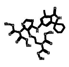 Cc1cc(Nc2ncnc(N(C(=O)OC(C)(C)C)C(=O)OC(C)(C)C)c2OCCN(C(=O)OC(C)(C)C)C(=O)OC(C)(C)C)cc2c1C(=O)NC21CCCCC1